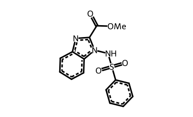 COC(=O)c1nc2ccccc2n1NS(=O)(=O)c1ccccc1